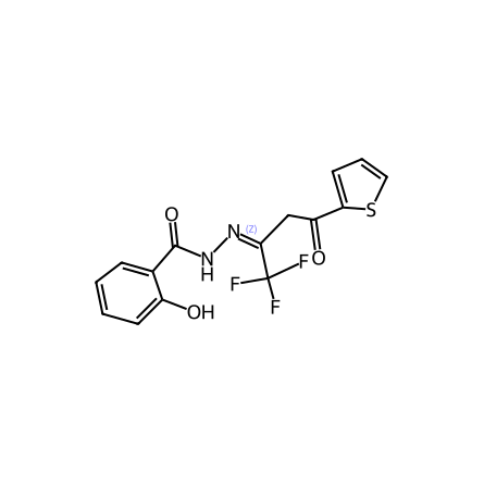 O=C(C/C(=N/NC(=O)c1ccccc1O)C(F)(F)F)c1cccs1